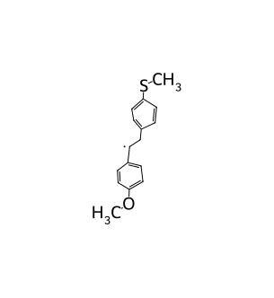 COc1ccc([CH]Cc2ccc(SC)cc2)cc1